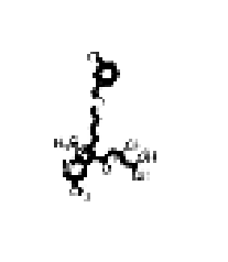 C[C@@H](CC(=O)c1c(CCCCOCc2cccc(Cl)c2)n(C)c2ncc(C(F)(F)F)cc12)CC(O)O